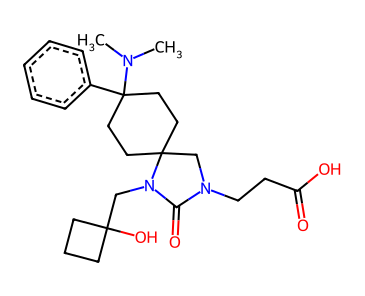 CN(C)C1(c2ccccc2)CCC2(CC1)CN(CCC(=O)O)C(=O)N2CC1(O)CCC1